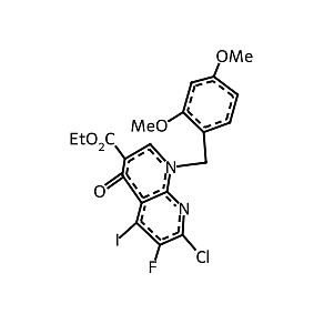 CCOC(=O)c1cn(Cc2ccc(OC)cc2OC)c2nc(Cl)c(F)c(I)c2c1=O